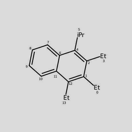 CCc1c(CC)c(C(C)C)c2ccccc2c1CC